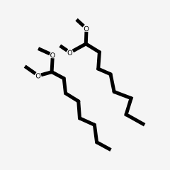 CCCCCCCC(OC)OC.CCCCCCCC(OC)OC